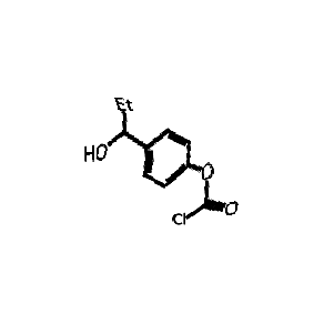 CCC(O)c1ccc(OC(=O)Cl)cc1